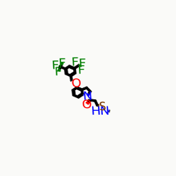 CNSCCC(=O)N1CCc2c(OCc3cc(C(F)(F)F)cc(C(F)(F)F)c3)cccc21